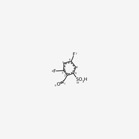 O=Ic1c(F)cc(F)cc1S(=O)(=O)O